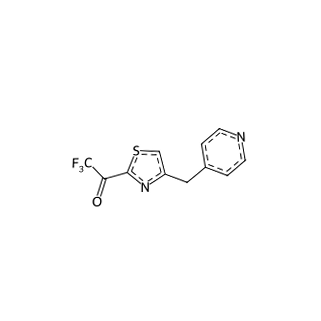 O=C(c1nc(Cc2ccncc2)cs1)C(F)(F)F